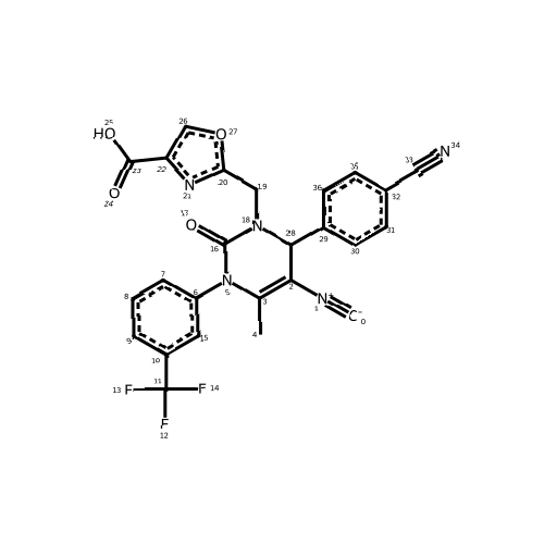 [C-]#[N+]C1=C(C)N(c2cccc(C(F)(F)F)c2)C(=O)N(Cc2nc(C(=O)O)co2)C1c1ccc(C#N)cc1